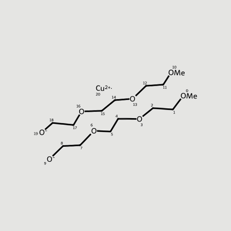 COCCOCCOCC[O-].COCCOCCOCC[O-].[Cu+2]